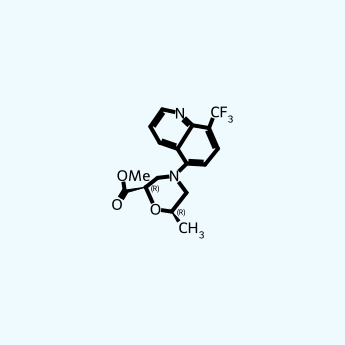 COC(=O)[C@H]1CN(c2ccc(C(F)(F)F)c3ncccc23)C[C@@H](C)O1